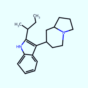 CCC(C)c1[nH]c2ccccc2c1C1CCN2CCCC2C1